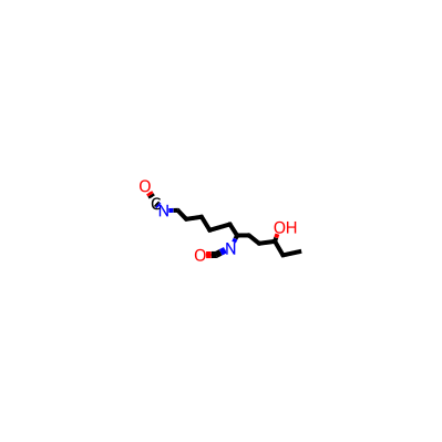 CCC(O)CCC(CCCCCN=C=O)N=C=O